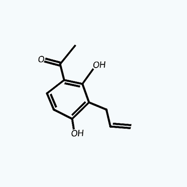 C=CCc1c(O)ccc(C(C)=O)c1O